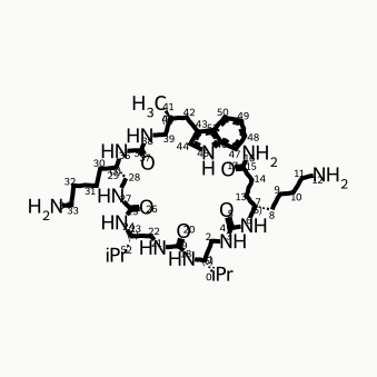 CC(C)[C@@H](CNC(=O)N[C@@H](CCCCN)CCC(N)=O)NC(=O)NC[C@@H](NC(=O)NC[C@H](CCCCN)NC(=O)NC[C@@H](C)Cc1c[nH]c2ccccc12)C(C)C